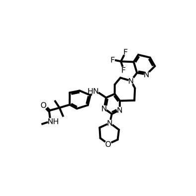 CNC(=O)C(C)(C)c1ccc(Nc2nc(N3CCOCC3)nc3c2CCN(c2ncccc2C(F)(F)F)CC3)cc1